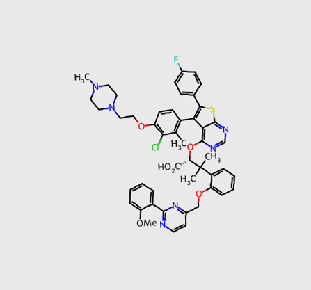 COc1ccccc1-c1nccc(COc2ccccc2C(C)(C)[C@@H](Oc2ncnc3sc(-c4ccc(F)cc4)c(-c4ccc(OCCN5CCN(C)CC5)c(Cl)c4C)c23)C(=O)O)n1